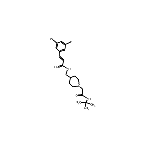 CC(C)(C)NC(=O)CN1CCC(CNC(=N)/C=C/c2cc(Cl)cc(Cl)c2)CC1